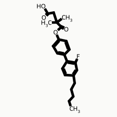 CCCCCc1ccc(-c2ccc(OC(=O)C(C)(C)CC(=O)O)cc2)c(F)c1